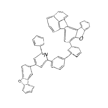 c1ccc(-c2cc(-c3ccc4oc5ccccc5c4c3)cc(-c3cccc(-c4cccc(-c5cc6c(c7c5oc5ccccc57)-c5cccc7cccc-6c57)c4)c3)n2)cc1